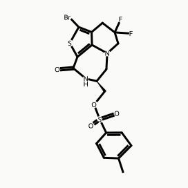 Cc1ccc(S(=O)(=O)OC[C@@H]2CN3CC(F)(F)Cc4c(Br)sc(c43)C(=O)N2)cc1